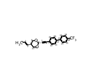 CC=C[C@H]1CO[C@H](C#Cc2ccc(-c3ccc(C(F)(F)F)cc3)cc2)OC1